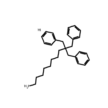 I.PCCCCCCCCC(Cc1ccccc1)(Cc1ccccc1)Cc1ccccc1